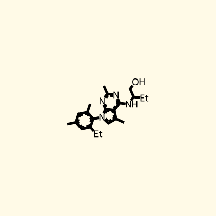 CCc1cc(C)cc(C)c1-n1cc(C)c2c(NC(CC)CO)nc(C)nc21